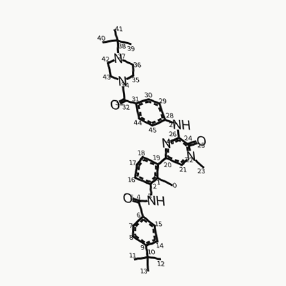 Cc1c(NC(=O)c2ccc(C(C)(C)C)cc2)cccc1-c1cn(C)c(=O)c(Nc2ccc(C(=O)N3CCN(C(C)(C)C)CC3)cc2)n1